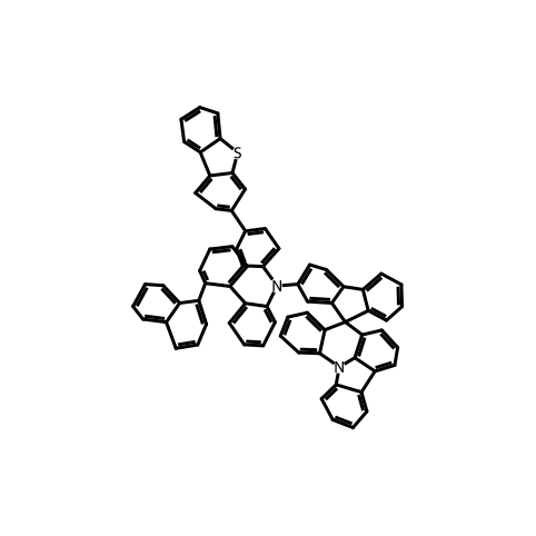 c1ccc(-c2cccc3ccccc23)c(-c2ccccc2N(c2ccc(-c3ccc4c(c3)sc3ccccc34)cc2)c2ccc3c(c2)C2(c4ccccc4-3)c3ccccc3-n3c4ccccc4c4cccc2c43)c1